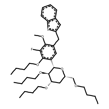 CCCCOC[C@@H]1C[C@H](OCCCC)[C@@H](OCCCC)[C@H](c2cc(Cc3cc4ccccc4s3)c(OC)c(F)c2OCCCC)O1